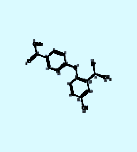 COC(=O)c1ccc(Oc2ccc(C#N)cc2C(C)Br)nc1